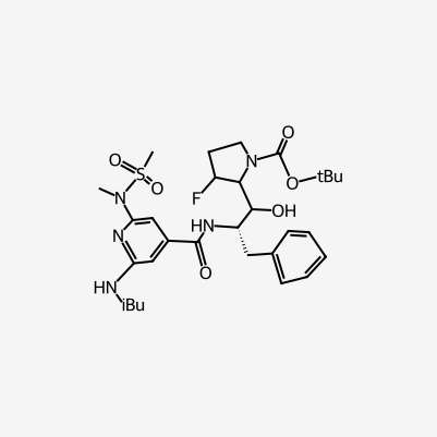 CCC(C)Nc1cc(C(=O)N[C@@H](Cc2ccccc2)C(O)C2C(F)CCN2C(=O)OC(C)(C)C)cc(N(C)S(C)(=O)=O)n1